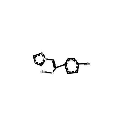 CCCCOC(=Cn1cncn1)c1ccc(Br)cc1